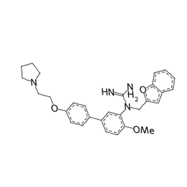 COc1ccc(-c2ccc(OCCN3CCCC3)cc2)cc1N(Cc1cc2ccccc2o1)C(=N)N